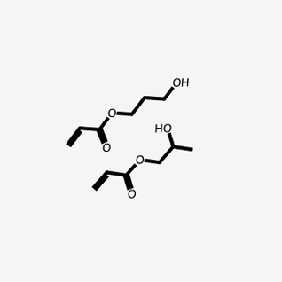 C=CC(=O)OCC(C)O.C=CC(=O)OCCCO